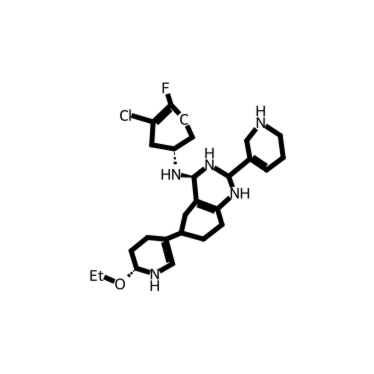 CCO[C@@H]1CCC(C2CCC3=C(C2)[C@@H](N[C@H]2CCC(F)=C(Cl)C2)NC(C2=CCCNC2)N3)=CN1